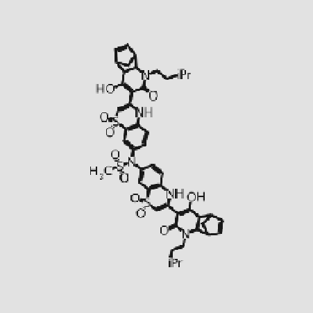 CC(C)CCN1C(=O)C(C2=CS(=O)(=O)c3cc(N(c4ccc5c(c4)S(=O)(=O)C=C(C4=C(O)C6C7C=CC(C7)C6N(CCC(C)C)C4=O)N5)S(C)(=O)=O)ccc3N2)=C(O)C2C3C=CC(C3)C21